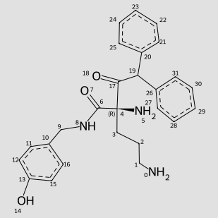 NCCC[C@](N)(C(=O)NCc1ccc(O)cc1)C(=O)C(c1ccccc1)c1ccccc1